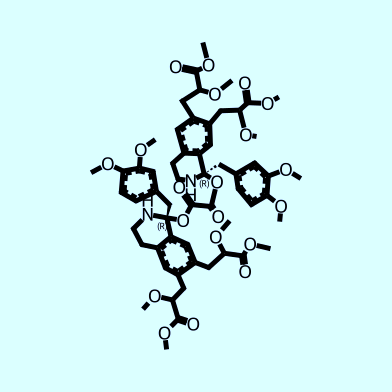 COC(=O)C(Cc1cc2c(cc1CC(OC)C(=O)OC)[C@@](Cc1ccc(OC)c(OC)c1)(OC(=O)C(=O)O[C@@]1(Cc3ccc(OC)c(OC)c3)NCCc3cc(CC(OC)C(=O)OC)c(CC(OC)C(=O)OC)cc31)NCC2)OC